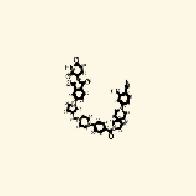 N#Cc1ccc(N2CCC3(CCN(C(=O)c4ccc(N5CCN(C[C@H]6CCN(c7ccc8c(c7)C(=O)N(C7CCC(=O)NC7=O)C8=O)C6)CC5)cc4)C3)CC2)cc1Cl